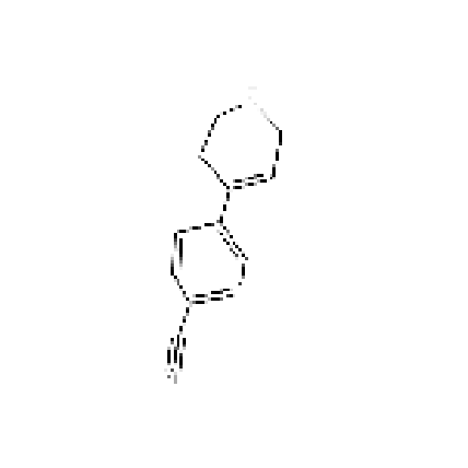 Cl.Cl.N#Cc1ccc(C2=CCNCC2)cn1